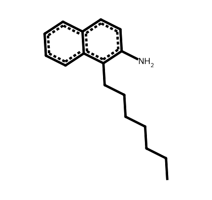 CCCCCCCc1c(N)ccc2ccccc12